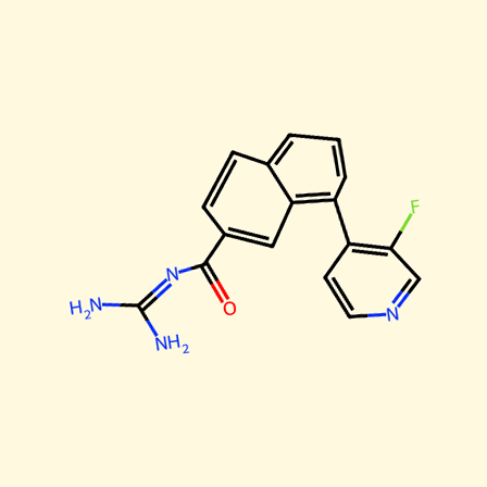 NC(N)=NC(=O)c1ccc2cccc(-c3ccncc3F)c2c1